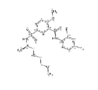 COCCOC[C@@H](C)NS(=O)(=O)c1ccc(OC)c(C(=O)Nc2ccc(F)cc2F)c1